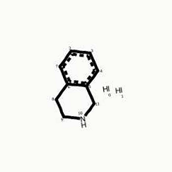 I.I.c1ccc2c(c1)CCNC2